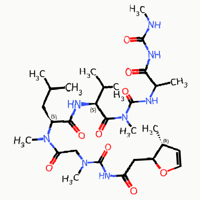 CNC(=O)NC(=O)C(C)NC(=O)N(C)C(=O)[C@@H](NC(=O)[C@H](CC(C)C)N(C)C(=O)CN(C)C(=O)NC(=O)CC1OC=C[C@H]1C)C(C)C